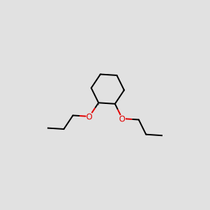 CCCO[C]1CCCCC1OCCC